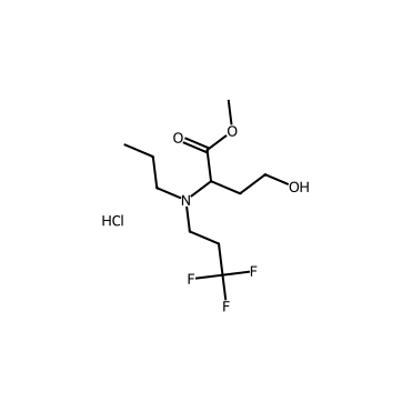 CCCN(CCC(F)(F)F)C(CCO)C(=O)OC.Cl